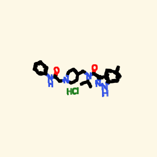 Cc1ccc2[nH]nc(C(=O)N(CC3CCN(CC(=O)Nc4ccccc4)CC3)C(C)C)c2c1.Cl